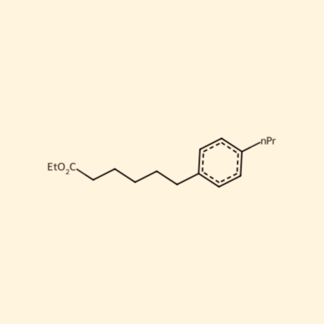 CCCc1ccc(CCCCCC(=O)OCC)cc1